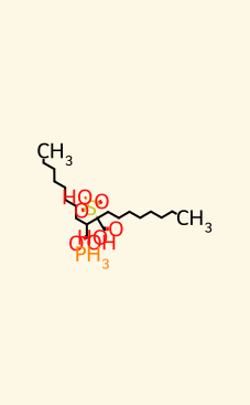 CCCCCCCCC(C(=O)O)C(CCCCCCCC)(C(=O)O)S(=O)(=O)O.P